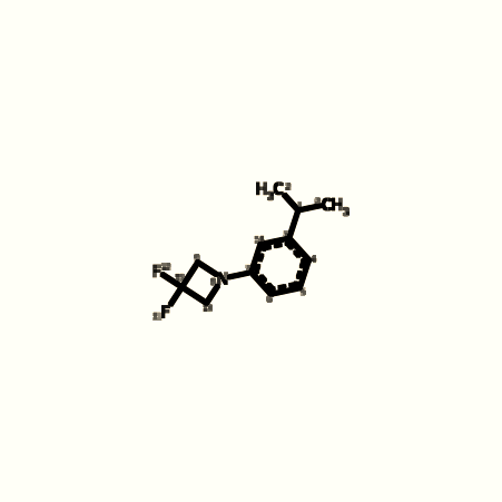 CC(C)c1cccc(N2CC(F)(F)C2)c1